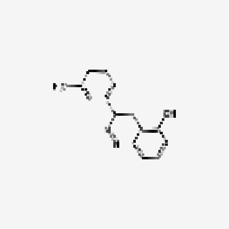 Oc1cccc2nnc(-c3cccc(C(F)(F)F)c3)cc12